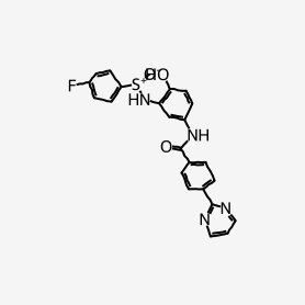 O=C(Nc1ccc(O)c(N[S+]([O-])c2ccc(F)cc2)c1)c1ccc(-c2ncccn2)cc1